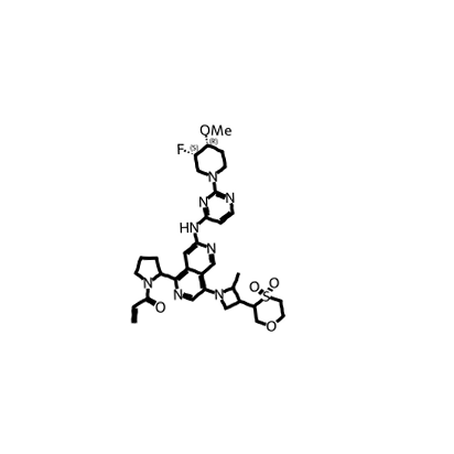 C=CC(=O)N1CCCC1c1ncc(N2CC(C3COCCS3(=O)=O)C2C)c2cnc(Nc3ccnc(N4CC[C@@H](OC)[C@@H](F)C4)n3)cc12